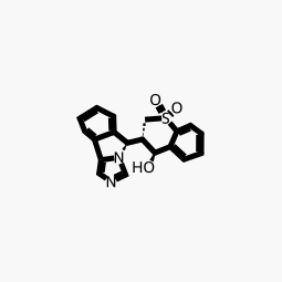 O=S1(=O)C[C@@H]([C@H]2c3ccccc3-c3cncn32)[C@H](O)c2ccccc21